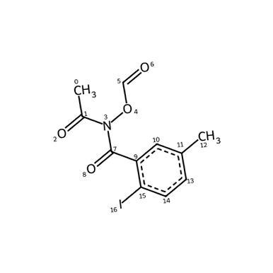 CC(=O)N(OC=O)C(=O)c1cc(C)ccc1I